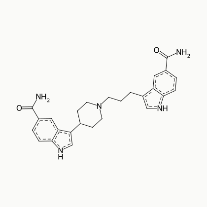 NC(=O)c1ccc2[nH]cc(CCCN3CCC(c4c[nH]c5ccc(C(N)=O)cc45)CC3)c2c1